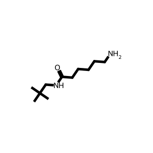 CC(C)(C)CNC(=O)CCCCCN